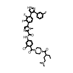 CCC(CCN(C)C)C(=O)N1CCN(C(=O)c2ccc(NC(=O)c3ncc(-c4ccc(-c5c[nH]nc5-c5cccc(F)c5)c(F)c4F)n3C)cc2Cl)CC1